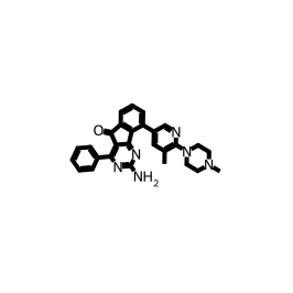 Cc1cc(-c2cccc3c2-c2nc(N)nc(-c4ccccc4)c2C3=O)cnc1N1CCN(C)CC1